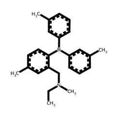 CCN(C)Cc1cc(C)cc[c]1[Bi]([c]1cccc(C)c1)[c]1cccc(C)c1